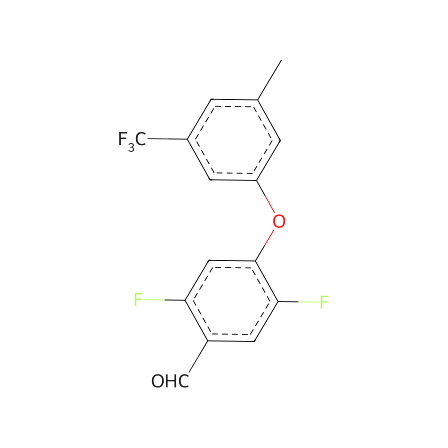 Cc1cc(Oc2cc(F)c(C=O)cc2F)cc(C(F)(F)F)c1